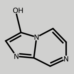 Oc1cnc2cnccn12